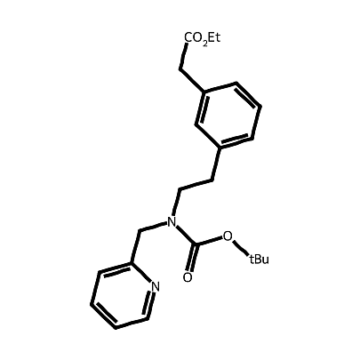 CCOC(=O)Cc1cccc(CCN(Cc2ccccn2)C(=O)OC(C)(C)C)c1